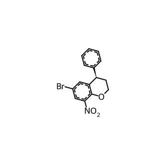 O=[N+]([O-])c1cc(Br)cc2c1OCC[C@@H]2c1ccccc1